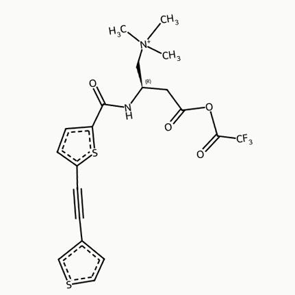 C[N+](C)(C)C[C@@H](CC(=O)OC(=O)C(F)(F)F)NC(=O)c1ccc(C#Cc2ccsc2)s1